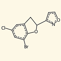 Clc1cc(Br)c2c(c1)CC(c1ccon1)O2